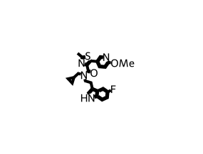 COc1ccc(-c2sc(C)nc2C(=O)N(CCc2c[nH]c3ccc(F)cc23)CC2CC2)cn1